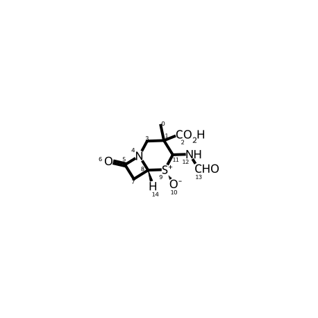 CC1(C(=O)O)CN2C(=O)C[C@H]2[S@@+]([O-])C1NC=O